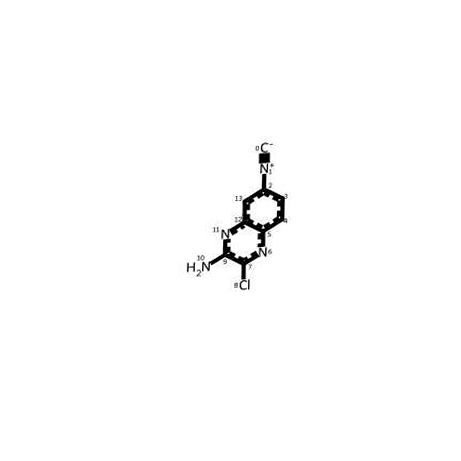 [C-]#[N+]c1ccc2nc(Cl)c(N)nc2c1